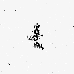 C[C@H]1CC(O)(c2ccc(C(F)(F)F)cc2)C[C@@H](c2cc(C(F)(F)F)[nH]n2)N1